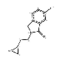 O=C1c2cc(F)cnc2CN1CCC1CO1